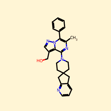 Cc1nc(N2CCC3(CC2)Cc2cccnc2C3)c2c(CO)cnn2c1-c1ccccc1